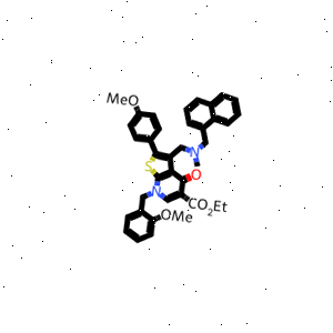 CCOC(=O)c1cn(Cc2ccccc2OC)c2sc(-c3ccc(OC)cc3)c(CN(C)Cc3cccc4ccccc34)c2c1=O